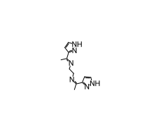 CC(=NCCN=C(C)c1cc[nH]n1)c1cc[nH]n1